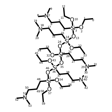 CCO[Si](CCCN(C)C)(OCC)O[Si](CCCN(C)C)(OCC)O[Si](CCCN(C)C)(OCC)O[Si](CCCN(C)C)(OCC)O[Si](CCCN(C)C)(OCC)OCC